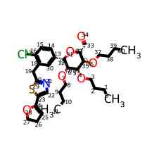 CCCCO[C@@H]1[C@@H](OCCCC)[C@H](c2ccc(Cl)c(Cc3ncc(C4=CCCO4)s3)c2)O[C@H](C=O)[C@H]1OCCCC